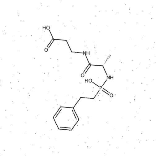 C[C@H](NP(=O)(O)CCc1ccccc1)C(=O)NCCC(=O)O